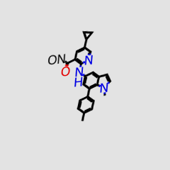 Cc1ccc(-c2cc(Nc3ncc(C4CC4)cc3C(=O)N=O)cc3ccn(C)c23)cc1